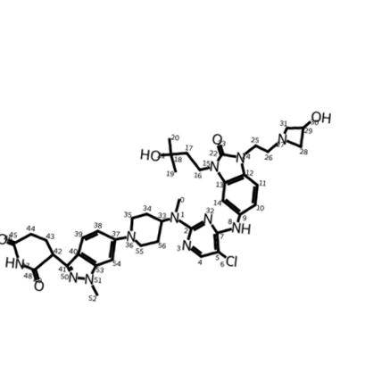 CN(c1ncc(Cl)c(Nc2ccc3c(c2)n(CCC(C)(C)O)c(=O)n3CCN2CC(O)C2)n1)C1CCN(c2ccc3c(C4CCC(=O)NC4=O)nn(C)c3c2)CC1